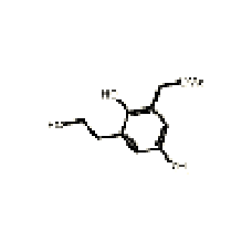 COCc1cc(C)cc(CCO)c1O